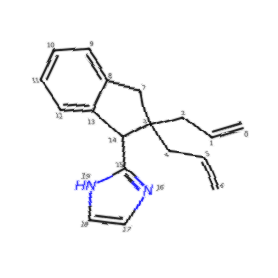 C=CCC1(CC=C)Cc2ccccc2C1c1ncc[nH]1